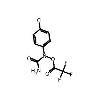 NC(=O)N(OC(=O)C(F)(F)F)c1ccc(Cl)cc1